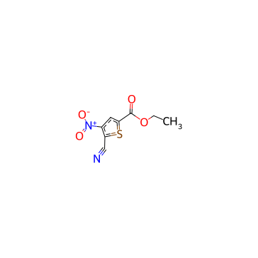 CCOC(=O)c1cc([N+](=O)[O-])c(C#N)s1